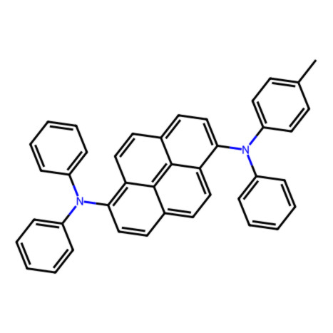 Cc1ccc(N(c2ccccc2)c2ccc3ccc4c(N(c5ccccc5)c5ccccc5)ccc5ccc2c3c54)cc1